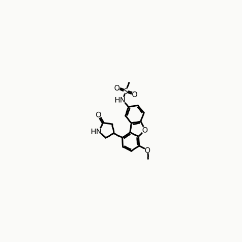 COc1ccc(C2CNC(=O)C2)c2c1oc1ccc(NS(C)(=O)=O)cc12